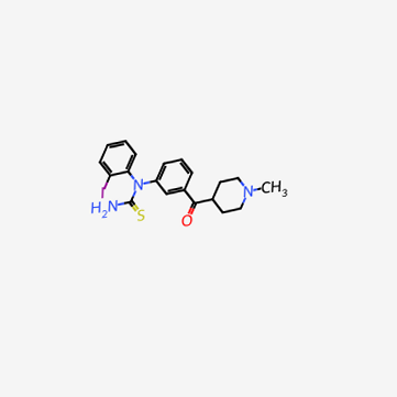 CN1CCC(C(=O)c2cccc(N(C(N)=S)c3ccccc3I)c2)CC1